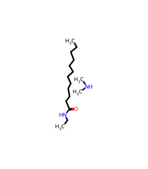 CCCCCCCCCCCC(=O)NCC.CNC